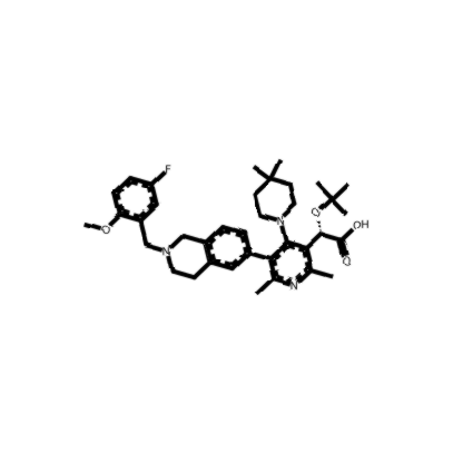 COc1ccc(F)cc1CN1CCc2cc(-c3c(C)nc(C)c([C@H](OC(C)(C)C)C(=O)O)c3N3CCC(C)(C)CC3)ccc2C1